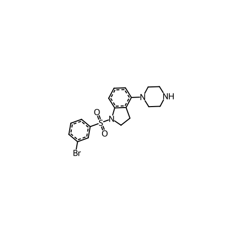 O=S(=O)(c1cccc(Br)c1)N1CCc2c(N3CCNCC3)cccc21